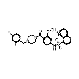 COc1cc(NS(=O)(=O)c2cccc3cccnc23)ccc1C(=O)N1CCN(Cc2ccc(F)cc2F)CC1